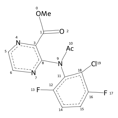 COC(=O)c1nccnc1N(C(C)=O)c1c(F)ccc(F)c1Cl